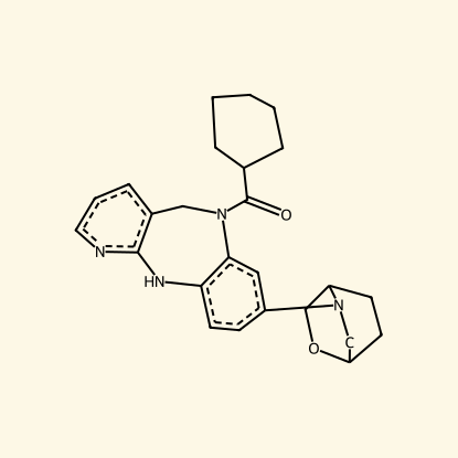 O=C(C1CCCCC1)N1Cc2cccnc2Nc2ccc(N3CC4CCC3CO4)cc21